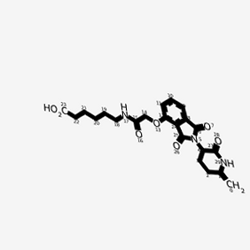 C=C1CCC(N2C(=O)c3cccc(OCC(=O)NCCCCCC(=O)O)c3C2=O)C(=O)N1